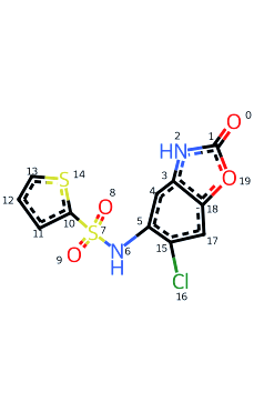 O=c1[nH]c2cc(NS(=O)(=O)c3cccs3)c(Cl)cc2o1